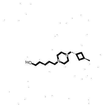 C[C@H]1C[C@H](CN2CCN(CCCCCO)CC2)C1